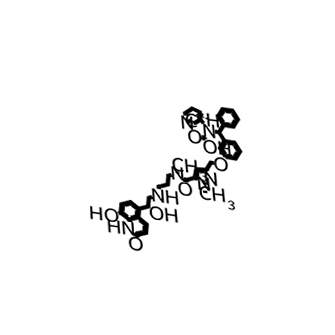 CN(CCCNC[C@@H](O)c1ccc(O)c2[nH]c(=O)ccc12)C(=O)c1cc(COc2cccc(C(c3ccccc3)N(C(=O)O)[C@H]3CN4CCC3CC4)c2)nn1C